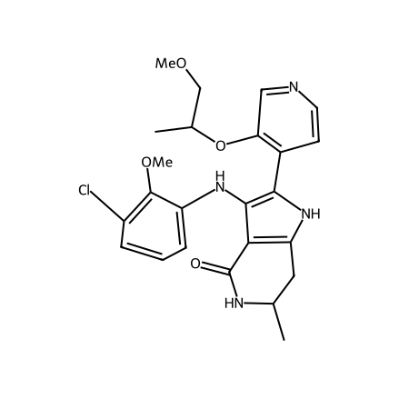 COCC(C)Oc1cnccc1-c1[nH]c2c(c1Nc1cccc(Cl)c1OC)C(=O)NC(C)C2